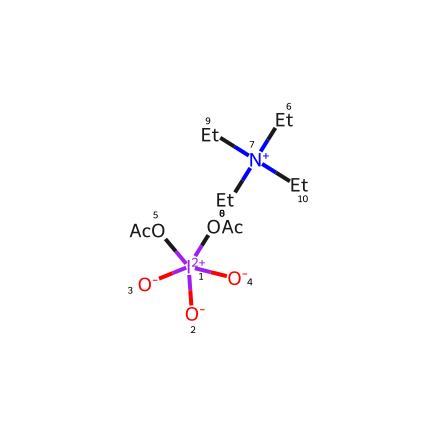 CC(=O)O[I+2]([O-])([O-])([O-])OC(C)=O.CC[N+](CC)(CC)CC